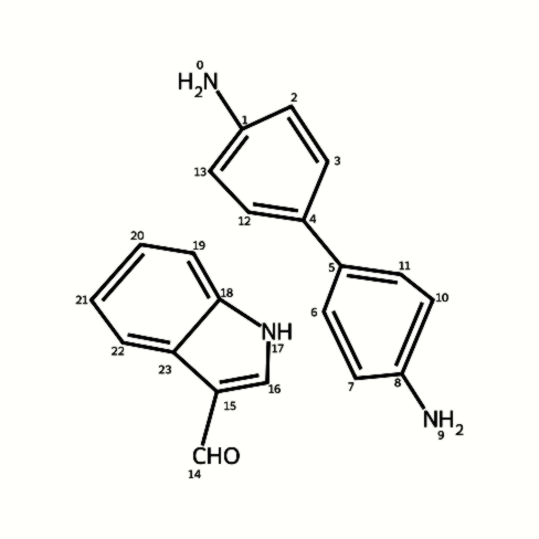 Nc1ccc(-c2ccc(N)cc2)cc1.O=Cc1c[nH]c2ccccc12